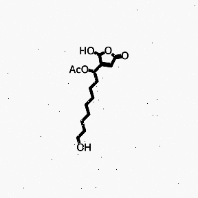 CC(=O)OC(CCCCCCCCO)C1=CC(=O)OC1O